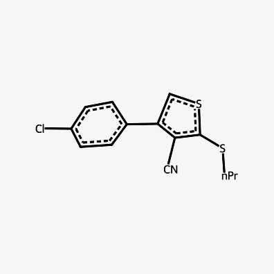 CCCSc1scc(-c2ccc(Cl)cc2)c1C#N